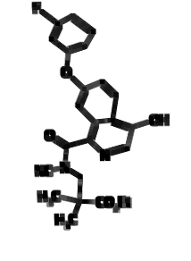 CCOC(=O)C(C)(C)CN(C#N)C(=O)c1ncc(O)c2ccc(Oc3cccc(F)c3)cc12